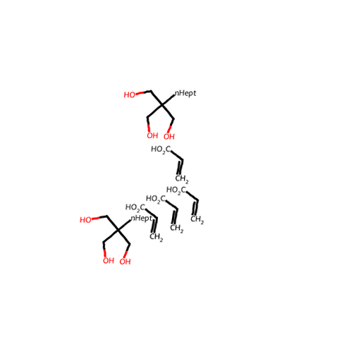 C=CC(=O)O.C=CC(=O)O.C=CC(=O)O.C=CC(=O)O.CCCCCCCC(CO)(CO)CO.CCCCCCCC(CO)(CO)CO